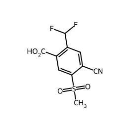 CS(=O)(=O)c1cc(C(=O)O)c(C(F)F)cc1C#N